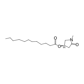 CCCCCCCCCCCC(=O)O[C@@H]1CC(=O)N(C)C1